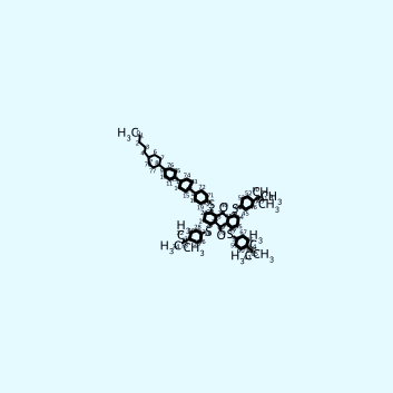 CCCCCC1CCC(c2ccc(-c3ccc(-c4ccc(Sc5ccc(Sc6ccc(C(C)(C)C)cc6)c6c5C(=O)c5c(Sc7ccc(C(C)(C)C)cc7)ccc(Sc7ccc(C(C)(C)C)cc7)c5C6=O)cc4)cc3)cc2)CC1